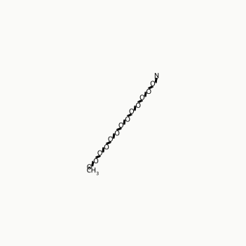 COCCOCCOCCOCCOCCOCCOCCOCCOCCOCCOCCOCCOCC#N